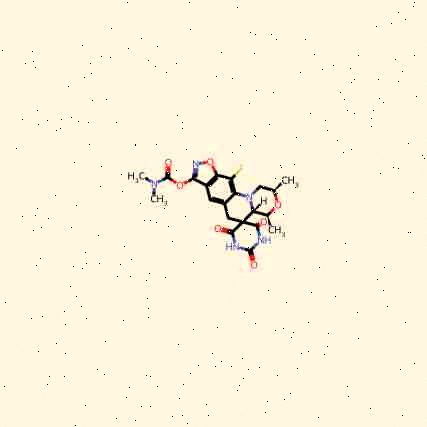 C[C@@H]1CN2c3c(cc4c(OC(=O)N(C)C)noc4c3F)CC3(C(=O)NC(=O)NC3=O)[C@H]2[C@H](C)O1